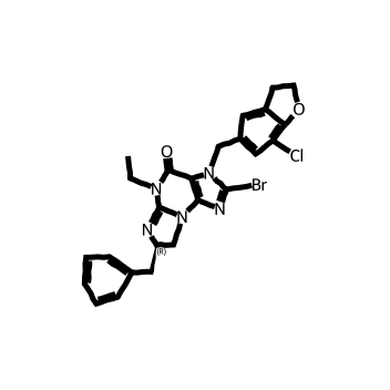 CCN1C(=O)c2c(nc(Br)n2Cc2cc(Cl)c3c(c2)CCO3)N2C[C@@H](Cc3ccccc3)N=C12